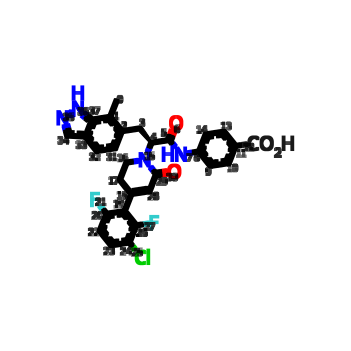 Cc1c(C[C@@H](C(=O)Nc2ccc(C(=O)O)cc2)N2CCC(c3c(F)ccc(Cl)c3F)=CC2=O)ccc2cn[nH]c12